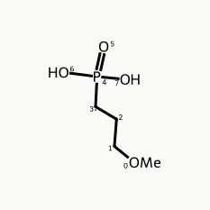 COCC[CH]P(=O)(O)O